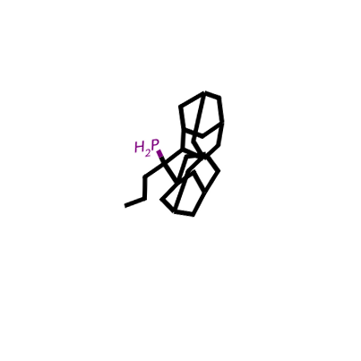 CCCC(P)(C1C2CC3CC(C2)CC1C3)C12CC3CC(CC(C3)C1)C2